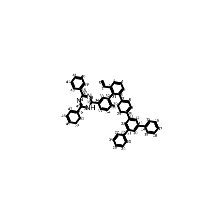 C=Cc1cccc(C2=CC=C(c3cc(-c4ccccc4)cc(-c4ccccc4)c3)CC2)c1-c1cc(C2N=C(c3ccccc3)N=C(C3=CC=CCC3)N2)ccc1C